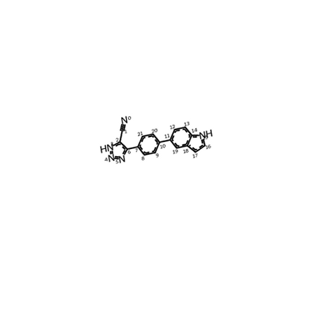 N#Cc1[nH]nnc1-c1ccc(-c2ccc3[nH]ccc3c2)cc1